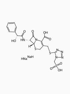 O=C(O)C1=C(CSc2nnnn2CS(=O)(=O)O)CS[C@@H]2[C@H](NC(=O)[C@H](O)c3ccccc3)C(=O)N12.[NaH].[NaH]